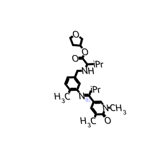 Cc1ccc(CNC(C(=O)OC2CCOC2)C(C)C)cc1/N=C(/c1cc(C)c(=O)n(C)c1)C(C)C